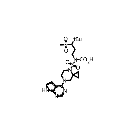 CC(C)(C)C(CCN(C(=O)O)S(=O)(=O)N1CCN(c2ncnc3[nH]ccc23)CC12CC2)S(C)(=O)=O